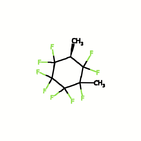 C[C@H]1C(F)(F)C(C)(F)C(F)(F)C(F)(F)C1(F)F